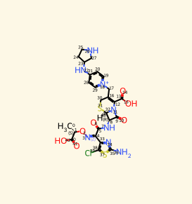 C[C@H](O/N=C(\C(=O)N[C@@H]1C(=O)N2C(C(=O)O)=C(C[n+]3ccc(NC4CCNC4)cc3)CS[C@H]12)c1nc(N)sc1Cl)C(=O)O